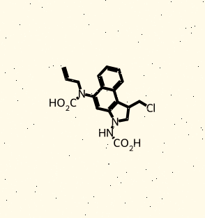 C=CCN(C(=O)O)c1cc2c(c3ccccc13)C(CCl)CN2NC(=O)O